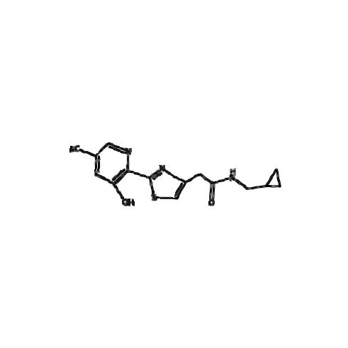 N#Cc1cnc(-c2nc(CC(=O)NCC3CC3)cs2)c(O)c1